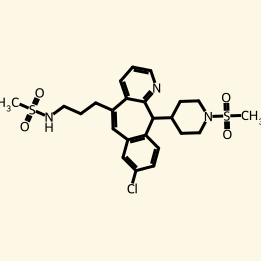 CS(=O)(=O)NCCCC1=Cc2cc(Cl)ccc2C(C2CCN(S(C)(=O)=O)CC2)c2ncccc21